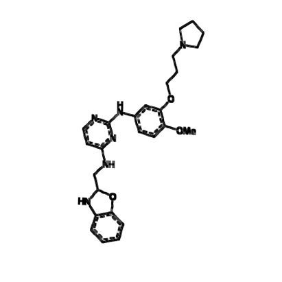 COc1ccc(Nc2nccc(NCC3Nc4ccccc4O3)n2)cc1OCCCN1CCCC1